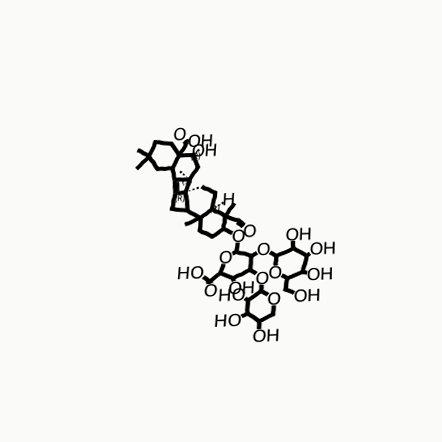 CC1(C)CCC2(C(=O)O)C(C1)C1=C3CC4C5(C)CCC(OC6OC(C(=O)O)C(O)C(OC7OCC(O)C(O)C7O)C6OC6OC(CO)C(O)C(O)C6O)C(C)(C=O)[C@@H]5CC[C@@]34[C@]1(C)C[C@H]2O